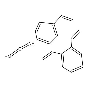 C=Cc1ccccc1.C=Cc1ccccc1C=C.N=C=N